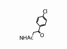 CC(=O)NCC(=O)c1ccc(Cl)cc1